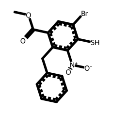 COC(=O)c1cc(Br)c(S)c([N+](=O)[O-])c1Cc1ccccc1